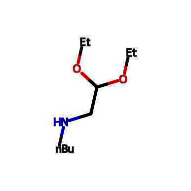 CCCCNCC(OCC)OCC